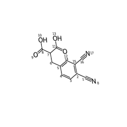 N#Cc1ccc(CC(C(=O)O)C(=O)O)cc1C#N